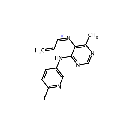 C=C/C=N\c1c(C)ncnc1Nc1ccc(I)nc1